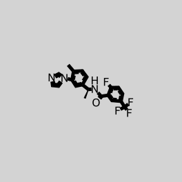 Cc1ccc([C@H](C)NC(=O)c2cc(C(F)(F)F)ccc2F)cc1-n1ccnc1